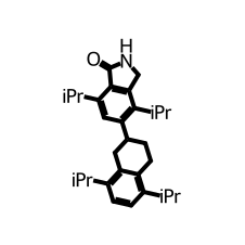 CC(C)c1ccc(C(C)C)c2c1CCC(c1cc(C(C)C)c3c(c1C(C)C)CNC3=O)C2